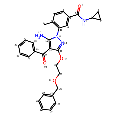 Cc1ccc(C(=O)NC2CC2)cc1-n1nc(OCCOCc2ccccc2)c(C(=O)c2ccccc2)c1N